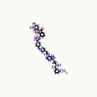 Cc1cccc(C(=O)NC2CC(n3cnc4c(NCCC5CCN(CC6CCN(C(=O)CNc7cccc8c7C(=O)N([C@H]7CCC(=O)NC7=O)C8=O)CC6)CC5)ncnc43)C2)n1